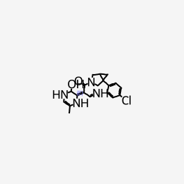 CC1=CNC(O)/C(=C(/C=N)C(=O)N2CC3CC3(c3ccc(Cl)cc3)C2)N1